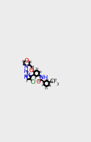 Cn1ncc(Cl)c1-c1cc(NC(=O)c2cccc(C(F)(F)F)c2)ccc1OCC1COCCN1